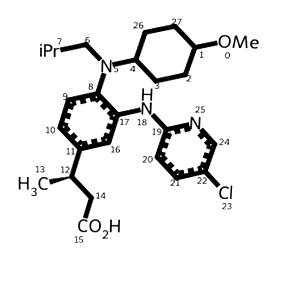 COC1CCC(N(CC(C)C)c2ccc([C@H](C)CC(=O)O)cc2Nc2ccc(Cl)cn2)CC1